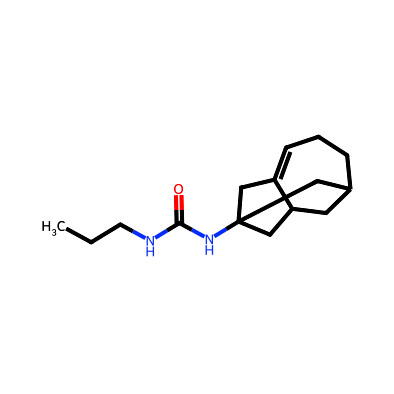 CCCNC(=O)NC12CC3=CCCC(CC3C1)C2